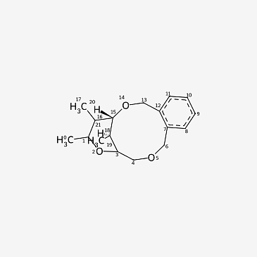 CC1OC2COCc3ccccc3CO[C@@H](C1C)[C@@H]2C